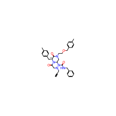 C#CCN1CC(=O)N2C(CN(CCOCc3ccc(C)cc3)C(=O)[C@@H]2Cc2ccc(C)cc2)N1C(=O)NCc1ccccc1